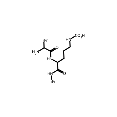 CC(C)NC(=O)C(CCCNC(=O)O)NC(=O)C(N)C(C)C